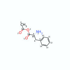 CC(=O)OC(=O)[C@H](N)Cc1ccccc1